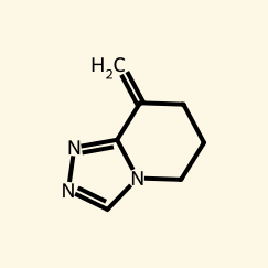 C=C1CCCn2cnnc21